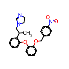 CC(CN1C=NCC1)c1ccccc1Oc1ccccc1OCc1ccc([N+](=O)[O-])cc1